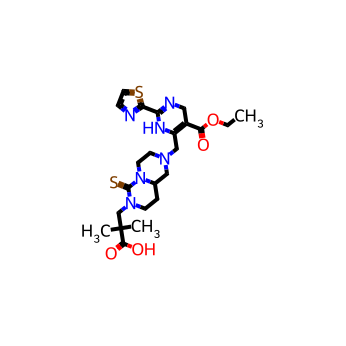 CCOC(=O)C1=C(CN2CCN3C(=S)N(CC(C)(C)C(=O)O)CCC3C2)NC(c2nccs2)=NC1